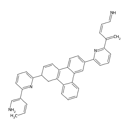 C=C(/C=C\C=N)c1cccc(-c2ccc3c4c(c5ccccc5c3c2)CC(c2cccc(C(/C=C\C)=C/N)n2)C=C4)n1